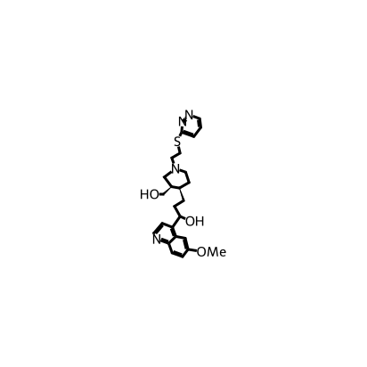 COc1ccc2nccc(C(O)CC[C@@H]3CCN(CCSc4cccnn4)C[C@@H]3CO)c2c1